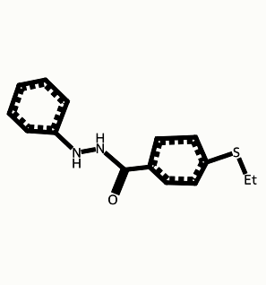 CCSc1ccc(C(=O)NNc2ccccc2)cc1